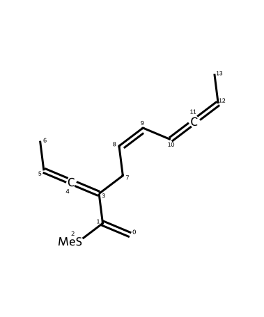 C=C(SC)C(=C=CC)C/C=C\C=C=CC